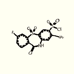 CC(C)c1cc2c(cc1S(=O)(=O)Cl)S(=O)(=O)c1cc(F)ccc1C(=O)N2